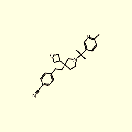 Cc1ccc(C(C)(C)N2CC[C@](CCc3ccc(C#N)cc3)(C3COC3)C2)cn1